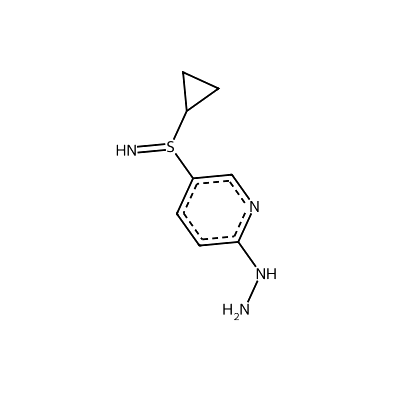 N=S(c1ccc(NN)nc1)C1CC1